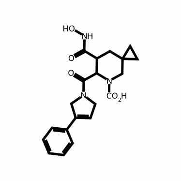 O=C(NO)C1CC2(CC2)CN(C(=O)O)C1C(=O)N1CC=C(c2ccccc2)C1